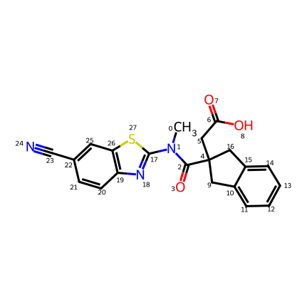 CN(C(=O)C1(CC(=O)O)Cc2ccccc2C1)c1nc2ccc(C#N)cc2s1